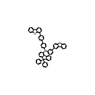 c1ccc(C2(c3ccccc3)c3ccccc3-c3c(N(c4ccc(-c5ccc(-c6cccc7c6oc6ccccc67)cc5)cc4)c4cccc(-c5ccc6sc7ccccc7c6c5)c4)cccc32)cc1